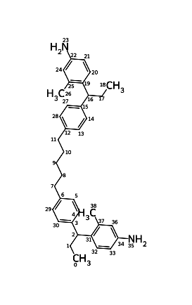 CCC(c1ccc(CCCCCc2ccc(C(CC)c3ccc(N)cc3C)cc2)cc1)c1ccc(N)cc1C